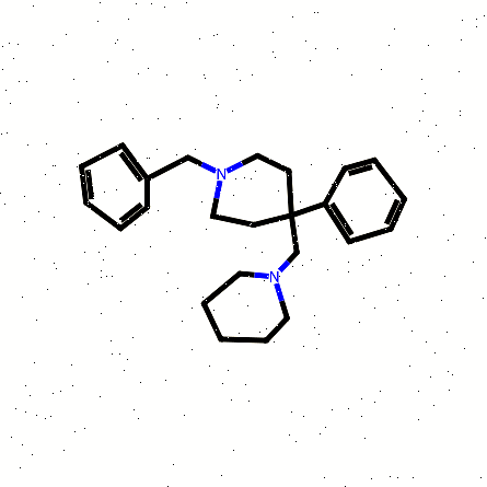 c1ccc(CN2CCC(CN3CCCCC3)(c3ccccc3)CC2)cc1